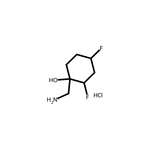 Cl.NCC1(O)CCC(F)CC1F